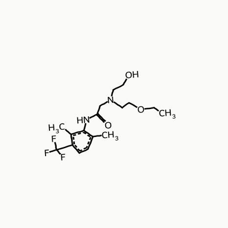 CCOCCN(CCO)CC(=O)Nc1c(C)ccc(C(F)(F)F)c1C